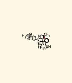 CC(C)NCc1cccc(F)c1C1(N2C=C(C(F)(F)F)C=NC2NC2CCN(S(C)(=O)=O)CC2)CNC(F)=N1